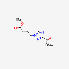 COC(=O)c1ncn(CCCC(=O)OC(C)(C)C)n1